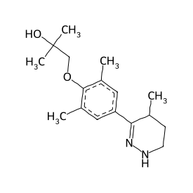 Cc1cc(C2=NNCCC2C)cc(C)c1OCC(C)(C)O